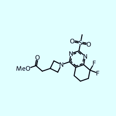 COC(=O)CC1CN(c2nc(S(C)(=O)=O)nc3c2CCCC3(F)F)C1